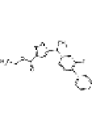 CCOC(=O)c1cc(C(C)c2ccc(-c3ccccc3)c(F)c2)on1